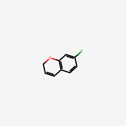 Fc1ccc2c(c1)OC[C]=C2